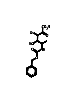 CCC(C(=O)C(=O)O)C(O)C(C)NC(=O)OCc1ccccc1